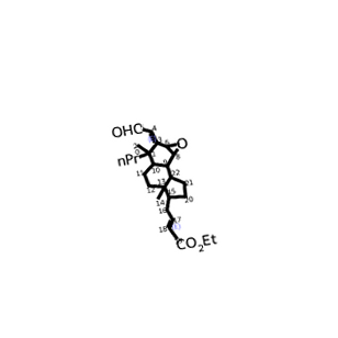 CCCC1(C)/C(=C\C=O)C2OC2C2C1CCC1(C)C(C/C=C/C(=O)OCC)CCC21